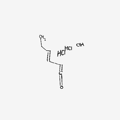 CC/C=C/C=C=O.Cl.Cl.Cl